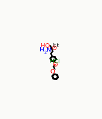 CCOC(N)(CO)CCc1ccc(OCCOc2ccccc2)cc1.Cl